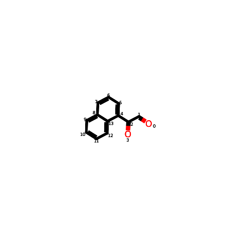 O=CC(=O)c1cccc2ccccc12